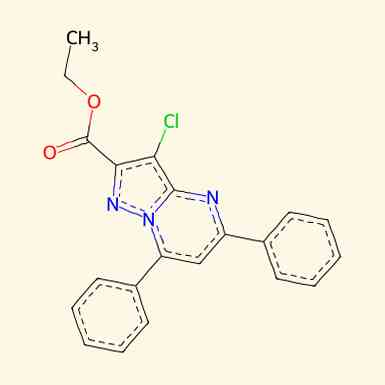 CCOC(=O)c1nn2c(-c3ccccc3)cc(-c3ccccc3)nc2c1Cl